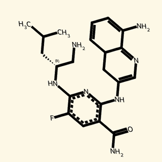 CC(C)C[C@H](CN)Nc1nc(NC2=CN=C3C(N)=CC=CC3C2)c(C(N)=O)cc1F